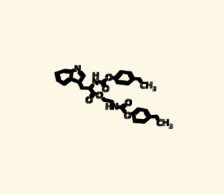 CCc1ccc(OC(=O)NCCOC(=O)C(CC2C=Nc3ccccc32)NC(=O)Oc2ccc(CC)cc2)cc1